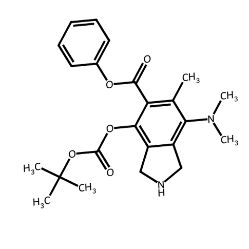 Cc1c(C(=O)Oc2ccccc2)c(OC(=O)OC(C)(C)C)c2c(c1N(C)C)CNC2